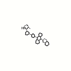 CC1=C(c2cccc(-c3ccc(-c4c5ccccc5c(C5=Cc6ccccc6CC5)c5ccccc45)cc3)c2)NCC=C1